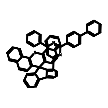 c1ccc(-c2ccc(-c3nc(-c4ccccc4)cc(-c4cccc5c4C4(c6ccccc6-5)c5ccc6ccccc6c5Sc5c4ccc4ccccc54)n3)cc2)cc1